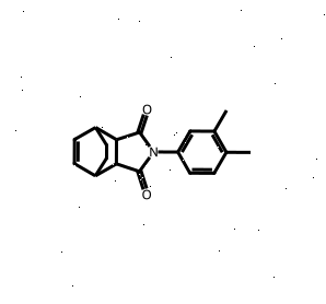 Cc1ccc(N2C(=O)C3C4C=CC(CC4)C3C2=O)cc1C